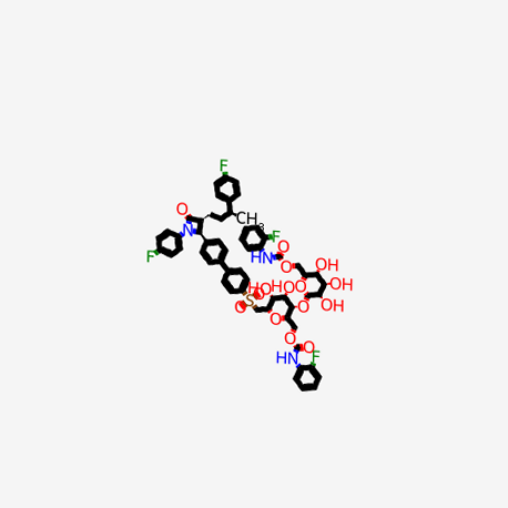 C[C@@H](CC[C@H]1C(=O)N(c2ccc(F)cc2)[C@@H]1c1ccc(-c2ccc(S(=O)(=O)CC3OC(COC(=O)Nc4ccccc4F)[C@@H](OC4OC(COC(=O)Nc5ccccc5F)[C@@H](O)[C@H](O)[C@@H]4O)[C@H](O)[C@@H]3O)cc2)cc1)c1ccc(F)cc1